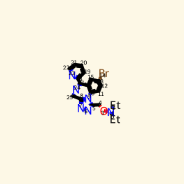 CCN(CC)OCc1nnc2n1-c1ccc(Br)cc1C(c1ccccn1)=NC2